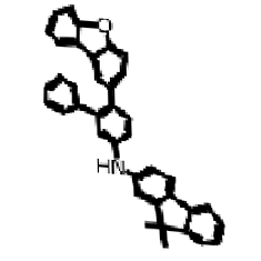 CC1(C)c2ccccc2-c2ccc(Nc3ccc(-c4ccc5oc6ccccc6c5c4)c(-c4ccccc4)c3)cc21